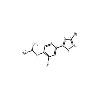 CC(C)Oc1ccc(-c2nc(Br)no2)cc1Cl